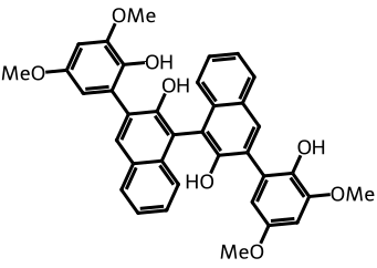 COc1cc(OC)c(O)c(-c2cc3ccccc3c(-c3c(O)c(-c4cc(OC)cc(OC)c4O)cc4ccccc34)c2O)c1